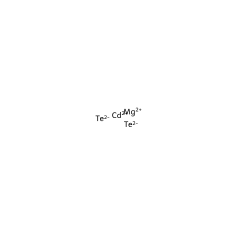 [Cd+2].[Mg+2].[Te-2].[Te-2]